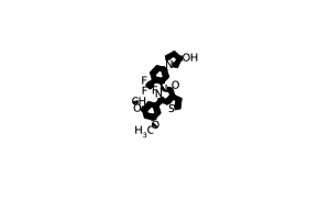 COc1cc(OC)cc(-c2nn(-c3cc(N4CCC(O)C4)ccc3C(F)(F)F)c(=O)c3ccsc23)c1